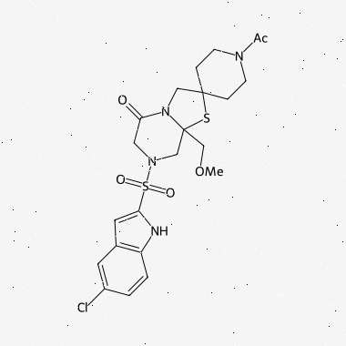 COCC12CN(S(=O)(=O)c3cc4cc(Cl)ccc4[nH]3)CC(=O)N1CC1(CCN(C(C)=O)CC1)S2